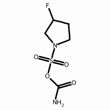 NC(=O)OS(=O)(=O)N1CCC(F)C1